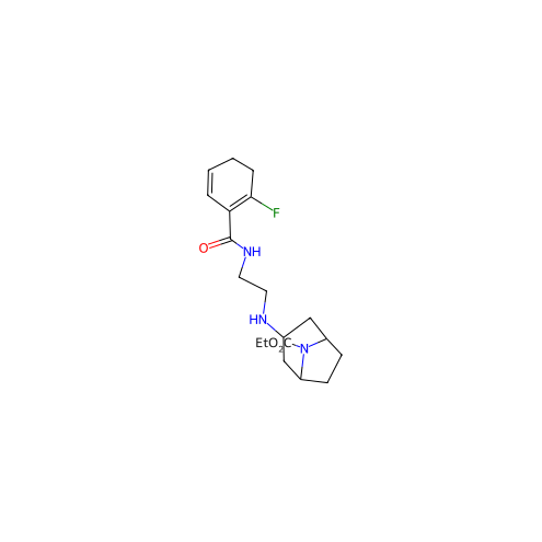 CCOC(=O)N1C2CCC1CC(NCCNC(=O)C1=C(F)CCC=C1)C2